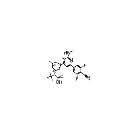 CNc1nc(-c2cc(F)c(C#N)c(F)c2)cc(N2C[C@H](C)C[C@@H](N(C(=O)O)C(C)(C)C)C2)n1